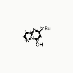 CCCCc1cc(O)n2nccc2n1